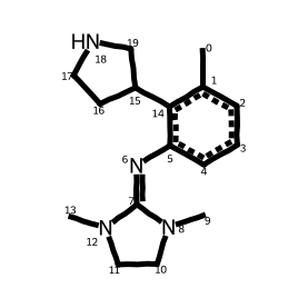 Cc1cccc(N=C2N(C)CCN2C)c1C1CCNC1